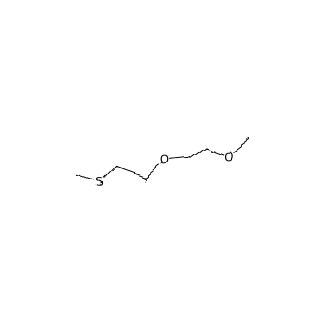 COCCO[CH]CSC